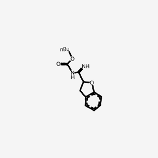 CCCCOC(=O)NC(=N)C1Cc2ccccc2O1